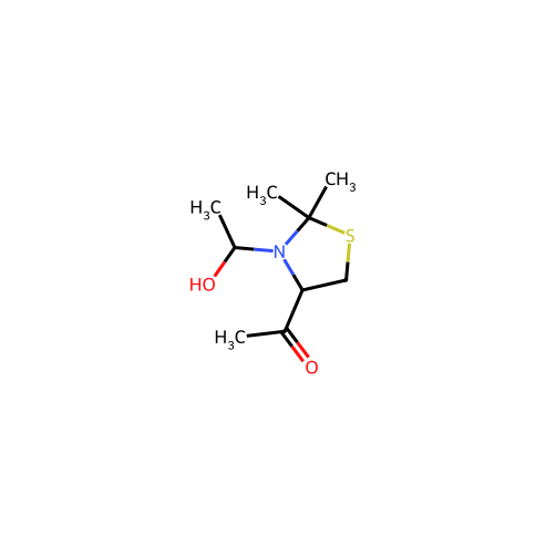 CC(=O)C1CSC(C)(C)N1C(C)O